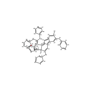 CCCCC1(C)C(Cc2ccccc2)=CC2=c3cc(Cc4ccccc4)c(C)cc3=CC2=[C]1[Zr]([C]1=CC=CC1)=[C](Cc1ccccc1)Cc1ccccc1